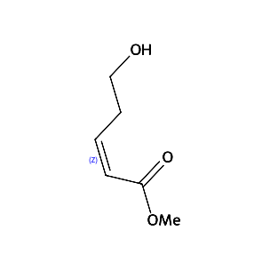 COC(=O)/C=C\CCO